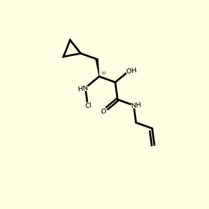 C=CCNC(=O)C(O)[C@H](CC1CC1)NCl